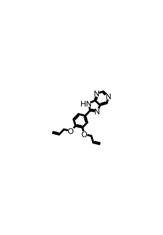 C=CCOc1ccc(-c2nc3cncnc3[nH]2)cc1OCC=C